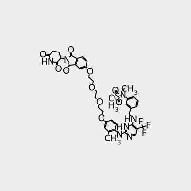 Cc1cc(OCCOCCOCCOc2ccc3c(c2)C(=O)N(C2CCC(=O)NC2=O)C3=O)ccc1Nc1ncc(C(F)(F)F)c(NCc2cccc(N(C)S(C)(=O)=O)c2)n1